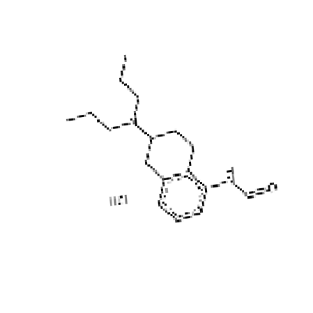 CCCN(CCC)C1CCc2c(cccc2NC=O)C1.Cl